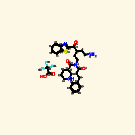 NCCC(CCN(C(=O)CCc1ccccc1)C(=O)[C@@H]1CCCNC1)C(=O)c1nc2ccccc2s1.O=C(O)C(F)(F)F